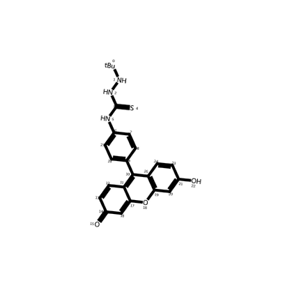 CC(C)(C)NNC(=S)Nc1ccc(-c2c3ccc(=O)cc-3oc3cc(O)ccc23)cc1